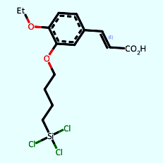 CCOc1ccc(/C=C/C(=O)O)cc1OCCCC[Si](Cl)(Cl)Cl